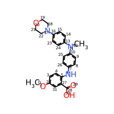 COc1ccc(Nc2ccc(N(C)c3ccc(N4CCOCC4)cc3)cc2)c(C(=O)O)c1